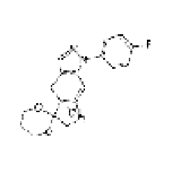 C[C@]12Cc3cnn(-c4ccc(F)cc4)c3C=C1CCC21OCCCO1